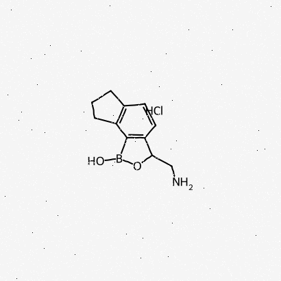 Cl.NCC1OB(O)c2c1ccc1c2CCC1